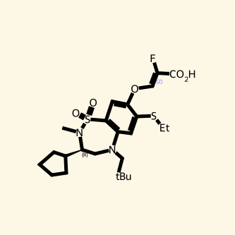 CCSc1cc2c(cc1O/C=C(\F)C(=O)O)S(=O)(=O)N(C)[C@H](C1CCCC1)CN2CC(C)(C)C